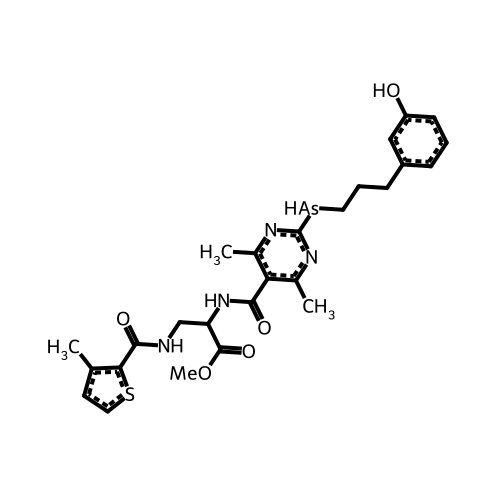 COC(=O)C(CNC(=O)c1sccc1C)NC(=O)c1c(C)nc([AsH]CCCc2cccc(O)c2)nc1C